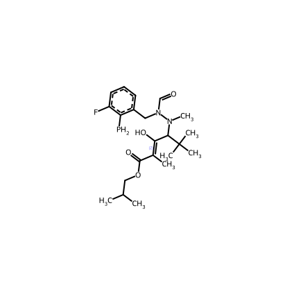 C/C(C(=O)OCC(C)C)=C(/O)C(N(C)N(C=O)Cc1cccc(F)c1P)C(C)(C)C